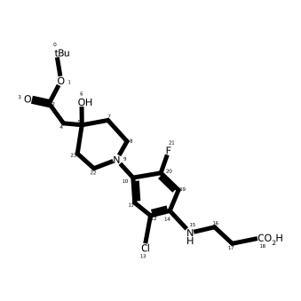 CC(C)(C)OC(=O)CC1(O)CCN(c2cc(Cl)c(NCCC(=O)O)cc2F)CC1